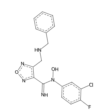 N=C(c1nonc1CNCc1ccccc1)N(O)c1ccc(F)c(Cl)c1